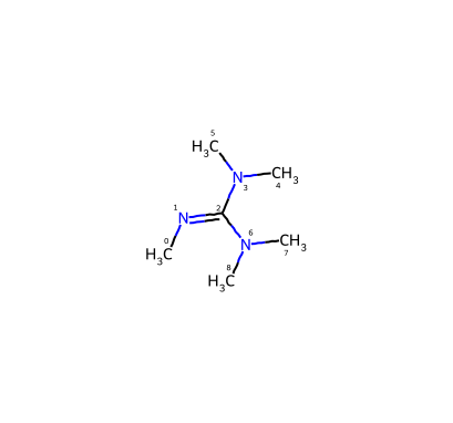 CN=C(N(C)C)N(C)C